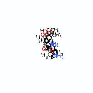 CC(C)[C@@H](C)[C@@]1(C)CC[C@]2(C)[C@H]3CC[C@@H]4[C@@]5(COC[C@@]4(C)[C@@H](OC[C@](C)(N)C4(C)CC4)[C@H](n4ncnc4-c4ccncc4)C5)C3=CC[C@@]2(C)[C@@H]1C(=O)O